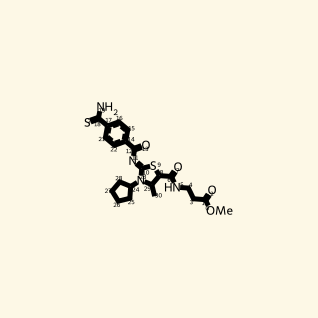 COC(=O)CCNC(=O)C1SC(=NC(=O)c2ccc(C(N)=S)cc2)N(C2CCCC2)C1C